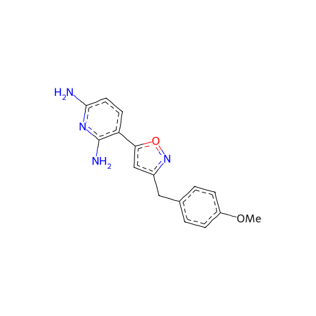 COc1ccc(Cc2cc(-c3ccc(N)nc3N)on2)cc1